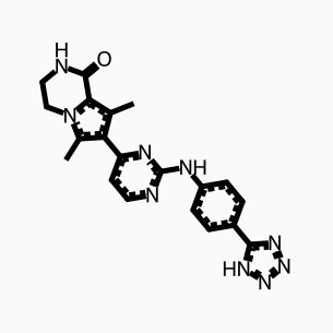 Cc1c(-c2ccnc(Nc3ccc(-c4nnn[nH]4)cc3)n2)c(C)n2c1C(=O)NCC2